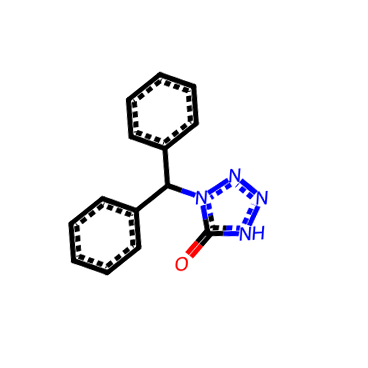 O=c1[nH]nnn1C(c1ccccc1)c1ccccc1